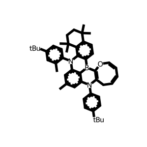 Cc1cc2c3c(c1)N(c1ccc(C(C)(C)C)cc1C)c1c(ccc4c1C(C)(C)CCC4(C)C)B3C1=C(C/C=C\C=C/O1)N2c1ccc(C(C)(C)C)cc1